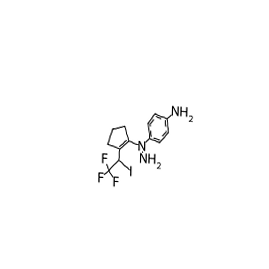 Nc1ccc(N(N)C2=C(C(I)C(F)(F)F)CCC2)cc1